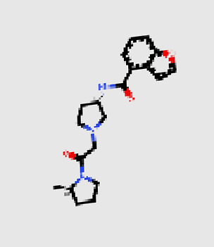 C[C@@H]1CCCN1C(=O)CN1CC[C@H](NC(=O)c2cccc3occc23)C1